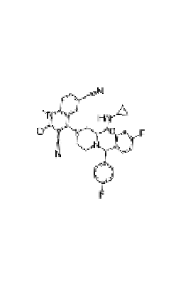 Cn1c(=O)c(C#N)c(N2CCN(C(c3ccc(F)cc3)c3ccc(F)cc3)C(C(=O)NC3CC3)C2)c2cc(C#N)ccc21